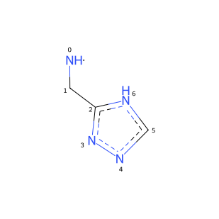 [NH]Cc1nnc[nH]1